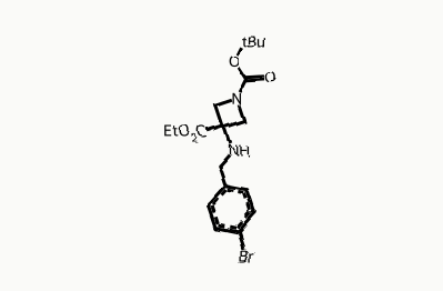 CCOC(=O)C1(NCc2ccc(Br)cc2)CN(C(=O)OC(C)(C)C)C1